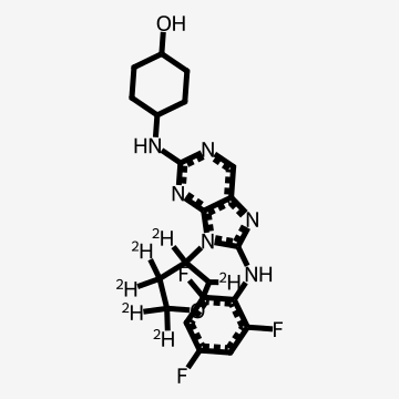 [2H]C1OC([2H])([2H])C([2H])([2H])C1([2H])n1c(Nc2c(F)cc(F)cc2F)nc2cnc(NC3CCC(O)CC3)nc21